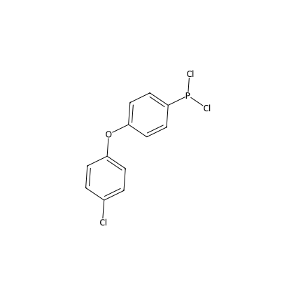 Clc1ccc(Oc2ccc(P(Cl)Cl)cc2)cc1